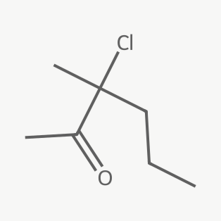 CCCC(C)(Cl)C(C)=O